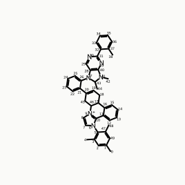 Cc1cc(C)c(-n2cc[n+]3c2-c2ccccc2C2CC=C(c4ccccc4N4c5cnc(-c6ccccc6C)nc5N(C)C4C)CC23)c(C)c1